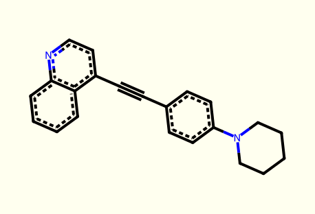 C(#Cc1ccnc2ccccc12)c1ccc(N2CCCCC2)cc1